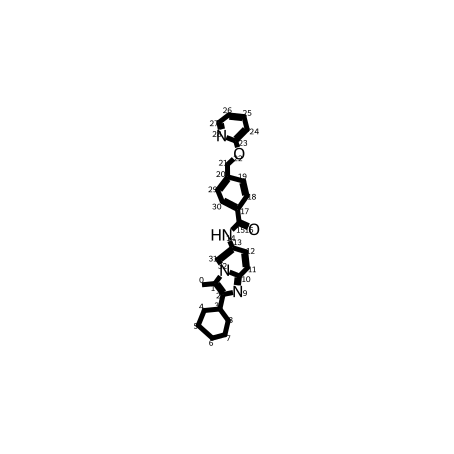 Cc1c(C2CCCCC2)nc2ccc(NC(=O)c3ccc(COc4ccccn4)cc3)cn12